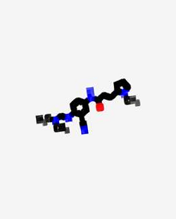 CN(C)C=Nc1ccc(NC(=O)/C=C/c2cccn2C)cc1C#N